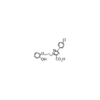 O=C(O)c1cc(-c2ccc(Cl)cc2)nn1CCCOc1ccccc1O